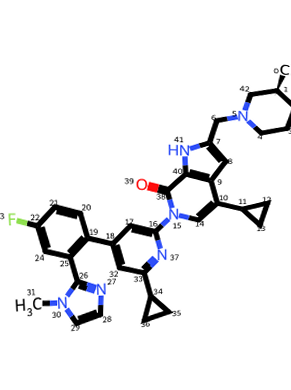 C[C@H]1CCCN(Cc2cc3c(C4CC4)cn(-c4cc(-c5ccc(F)cc5-c5nccn5C)cc(C5CC5)n4)c(=O)c3[nH]2)C1